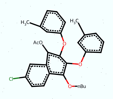 CCCCOc1c(Oc2cccc(C)c2)c(Oc2cccc(C)c2)c(OC(C)=O)c2cc(Cl)ccc12